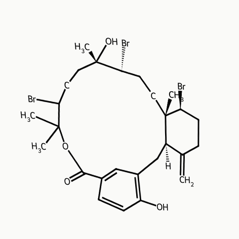 C=C1CC[C@H](Br)[C@@]2(C)CC[C@@H](Br)[C@@](C)(O)CCC(Br)C(C)(C)OC(=O)c3ccc(O)c(c3)C[C@H]12